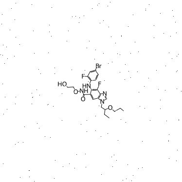 CCCOC(CC)Cn1cnc2c(F)c(Nc3ccc(Br)cc3F)c(C(=O)NOCCO)cc21